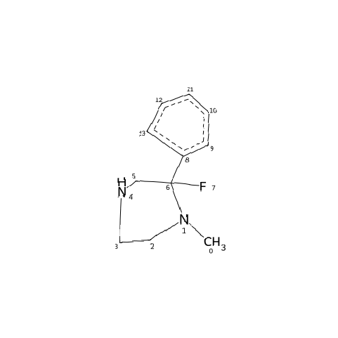 CN1CCNCC1(F)c1ccccc1